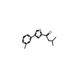 Cc1cccc(-c2csc(C(=O)CC(C)C)c2)c1